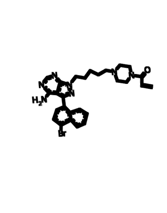 C=CC(=O)N1CCN(CCCCCn2nc(-c3ccc(Br)c4ccccc34)c3c(N)ncnc32)CC1